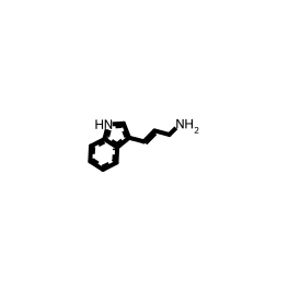 NCC=Cc1c[nH]c2ccccc12